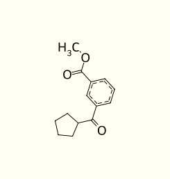 COC(=O)c1cccc(C(=O)C2CCCC2)c1